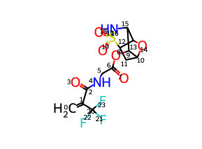 C=C(C(=O)NCC(=O)OC1C2CC3C(O2)C1NS3(=O)=O)C(F)(F)F